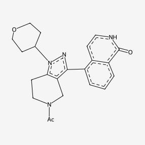 CC(=O)N1CCc2c(c(-c3cccc4c(=O)[nH]ccc34)nn2C2CCOCC2)C1